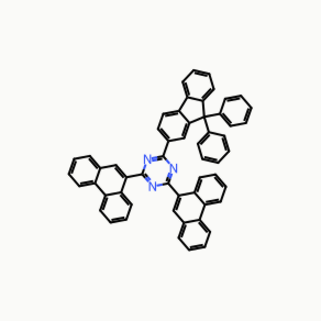 c1ccc(C2(c3ccccc3)c3ccccc3-c3ccc(-c4nc(-c5cc6ccccc6c6ccccc56)nc(-c5cc6ccccc6c6ccccc56)n4)cc32)cc1